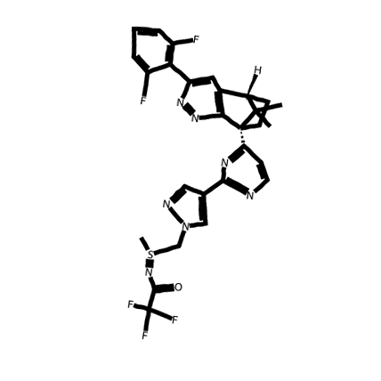 C/S(Cn1cc(-c2nccc([C@]34CC[C@@H](c5cc(-c6c(F)cccc6F)nnc53)C4(C)C)n2)cn1)=N/C(=O)C(F)(F)F